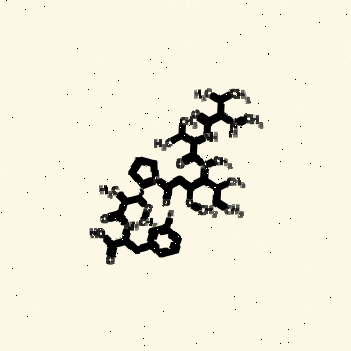 CCC(C)C(C(CC(=O)N1CCC[C@H]1C(OC)C(C)C(=O)NC(Cc1cccc(F)c1)C(=O)O)OC)N(C)C(=O)C(NC(=O)C(NC)C(C)C)C(C)C